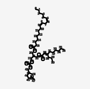 CCCCC/C=C\C/C=C\CCCCCCCC(=O)OCC(COC(=O)/C=C(\CCC)CCCCCC)COC(=O)OCC1CCN(C)C1